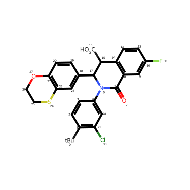 CC(C)(C)c1ccc(N2C(=O)c3cc(F)ccc3C(C(=O)O)C2c2ccc3c(c2)SCCO3)cc1Cl